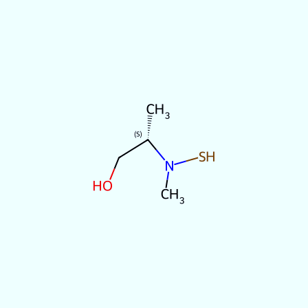 C[C@@H](CO)N(C)S